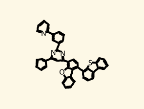 c1ccc(-c2cc(-c3ccc(-c4cccc5c4sc4ccccc45)c4c3oc3ccccc34)nc(-c3cccc(-c4ccccn4)c3)n2)cc1